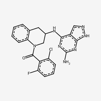 Nc1nc(NC2Cc3ccccc3N(C(=O)c3c(F)cccc3Cl)C2)c2cn[nH]c2n1